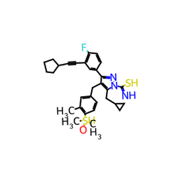 Cc1cc(Cc2c(-c3ccc(F)c(C#CC4CCCC4)c3)nn(C(=N)S)c2CC2CC2)ccc1[SH](C)(C)=O